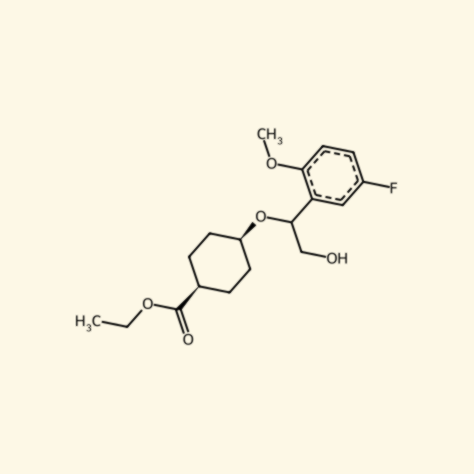 CCOC(=O)[C@H]1CC[C@@H](OC(CO)c2cc(F)ccc2OC)CC1